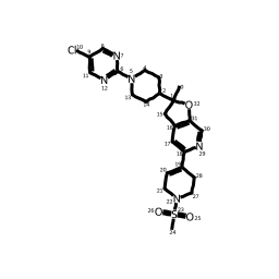 CC1(C2CCN(c3ncc(Cl)cn3)CC2)Cc2cc(C3=CCN(S(C)(=O)=O)CC3)ncc2O1